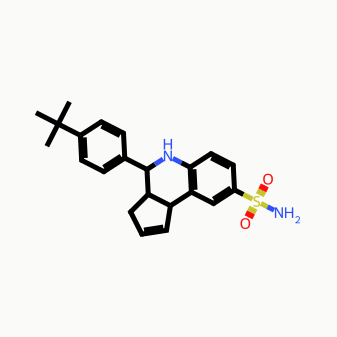 CC(C)(C)c1ccc(C2Nc3ccc(S(N)(=O)=O)cc3C3C=CCC32)cc1